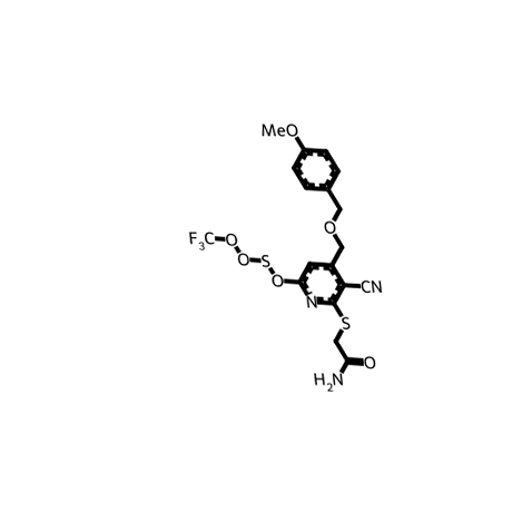 COc1ccc(COCc2cc(OSOOC(F)(F)F)nc(SCC(N)=O)c2C#N)cc1